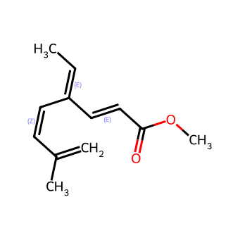 C=C(C)\C=C/C(/C=C/C(=O)OC)=C\C